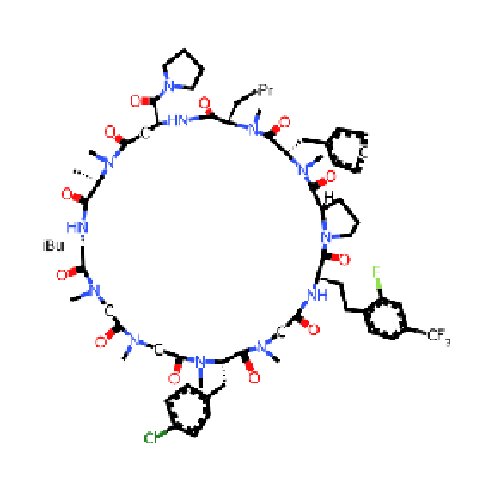 CC[C@H](C)[C@@H]1NC(=O)[C@H](C)N(C)C(=O)C[C@@H](C(=O)N2CCCC2)NC(=O)[C@@H](CC(C)C)N(C)C(=O)[C@H](Cc2ccccc2)N(C)C(=O)[C@@H]2CCCN2C(=O)[C@@H](CCc2ccc(C(F)(F)F)cc2F)NC(=O)CN(C)C(=O)[C@H](Cc2ccc(Cl)cc2)N(C)C(=O)CN(C)C(=O)CN(C)C1=O